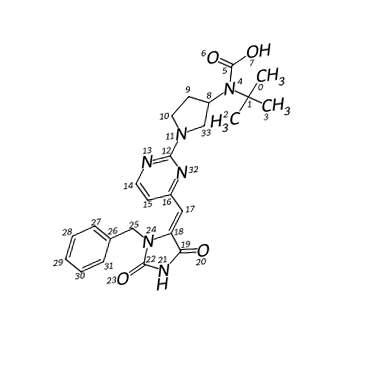 CC(C)(C)N(C(=O)O)C1CCN(c2nccc(/C=C3/C(=O)NC(=O)N3Cc3ccccc3)n2)C1